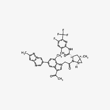 CC(=O)c1cn(CC(=O)N2[C@H](C(=O)Nc3nc(C(F)(F)F)c(F)cc3C)C[C@@]3(C)C[C@@H]23)c2c(C)cc(-c3cnc4cc(C)nn4c3)cc12